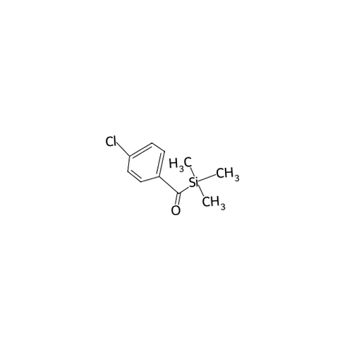 C[Si](C)(C)C(=O)c1ccc(Cl)cc1